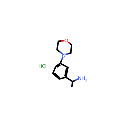 CC(N)c1cccc(N2CCOCC2)c1.Cl